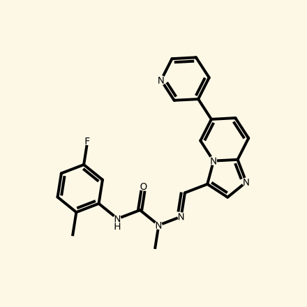 Cc1ccc(F)cc1NC(=O)N(C)N=Cc1cnc2ccc(-c3cccnc3)cn12